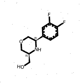 OC[C@H]1COC[C@@H](c2ccc(F)c(F)c2)N1